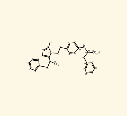 Cc1ccc(C(Cc2ccccc2)C(F)(F)F)n1CCc1ccc(O[C@H](Cc2ccccc2)C(=O)O)cc1